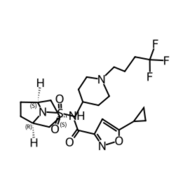 O=C(N[C@@H]1C[C@H]2CC[C@@H](C1)N2S(=O)(=O)CC1CCN(CCCC(F)(F)F)CC1)c1cc(C2CC2)on1